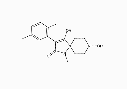 Cc1ccc(C)c(C2=C(O)C3(CCN(O)CC3)N(C)C2=O)c1